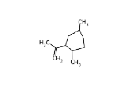 C=C(C)C1CC(C)CCC1C